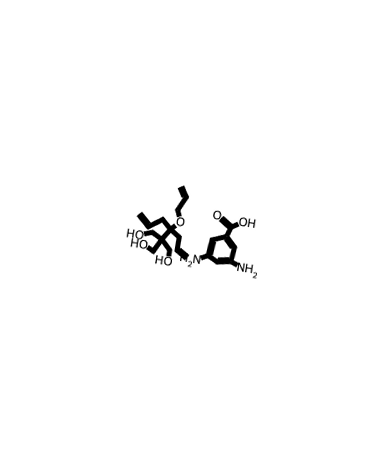 C=CCOC(CC=C)(CC=C)C(CO)(CO)CO.Nc1cc(N)cc(C(=O)O)c1